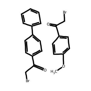 COc1ccc(C(=O)CBr)cc1.O=C(CBr)c1ccc(-c2ccccc2)cc1